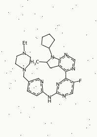 CCN1CCN(Cc2ccc(Nc3ncc(F)c(-c4ncnc5c4CC(C)N5C4CCCC4)n3)nc2)CC1